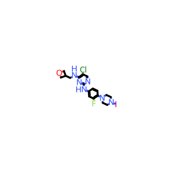 Fc1cc(Nc2ncc(Cl)c(NCC3COC3)n2)ccc1N1CCN(I)CC1